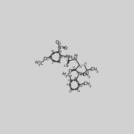 COc1ccc(NC(=S)N[C@H](CC(C)C)C(=O)Nc2c(C)cccc2C)c([N+](=O)[O-])c1